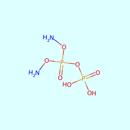 NOP(=O)(ON)OP(=O)(O)O